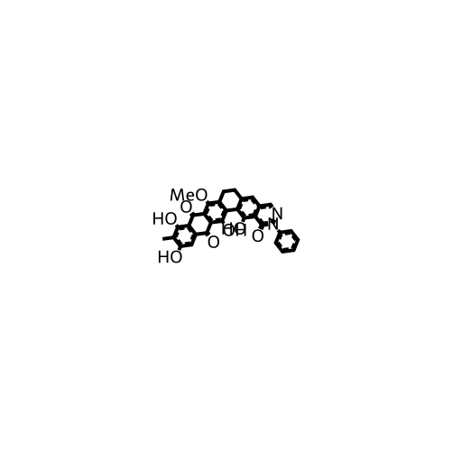 COc1c2c(c(O)c3c1C(=O)c1c(cc(O)c(C)c1O)C3=O)-c1c(cc3cnn(-c4ccccc4)c(=O)c3c1O)CC2